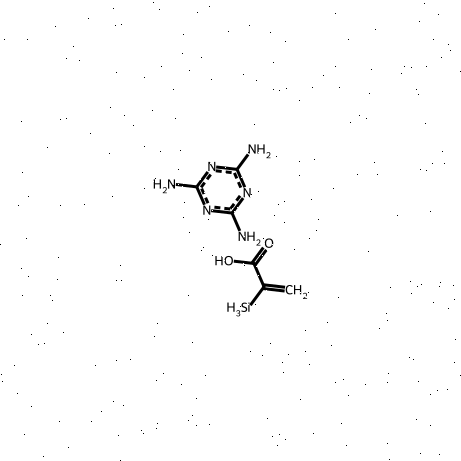 C=C([SiH3])C(=O)O.Nc1nc(N)nc(N)n1